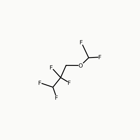 FC(F)OCC(F)(F)C(F)F